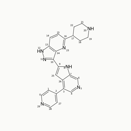 c1cc(-c2cncc3[nH]c(-c4n[nH]c5ccc(C6CCNCC6)nc45)cc23)ccn1